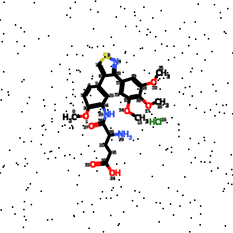 COc1ccc(-c2csnc2-c2cc(OC)c(OC)c(OC)c2)cc1NC(=O)C(N)CCC(=O)O.Cl